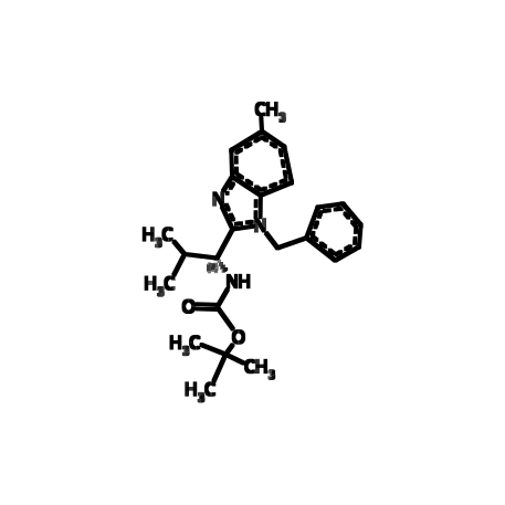 Cc1ccc2c(c1)nc([C@H](NC(=O)OC(C)(C)C)C(C)C)n2Cc1ccccc1